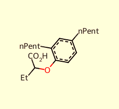 CCCCCc1ccc(OC(CC)C(=O)O)c(CCCCC)c1